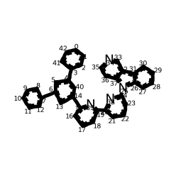 c1ccc(-c2cc(-c3ccccc3)cc(-c3cccc(-c4cccc(-n5c6ccccc6c6cnccc65)n4)n3)c2)cc1